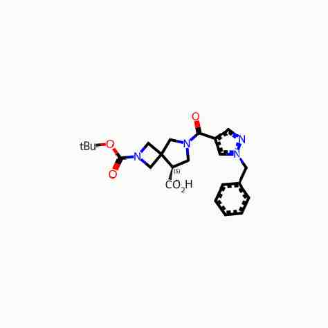 CC(C)(C)OC(=O)N1CC2(C1)CN(C(=O)c1cnn(Cc3ccccc3)c1)C[C@H]2C(=O)O